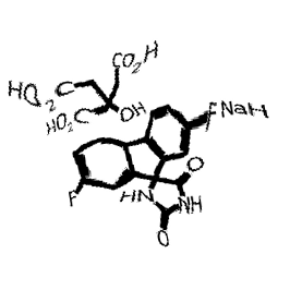 O=C(O)CC(O)(CC(=O)O)C(=O)O.O=C1NC(=O)C2(N1)c1cc(F)ccc1-c1ccc(F)cc12.[NaH]